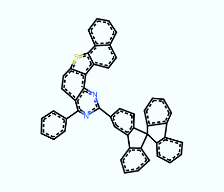 c1ccc(-c2nc(-c3ccc4c(c3)-c3ccccc3C43c4ccccc4-c4ccccc43)nc3c2ccc2sc4c5ccccc5ccc4c23)cc1